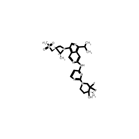 CC(C)c1ncc(N2C[C@H](CS(C)(=O)=O)[C@H]2C)c2cnc(Nc3ccnc(N4CC[C@](C)(O)C(F)(F)C4)n3)cc12